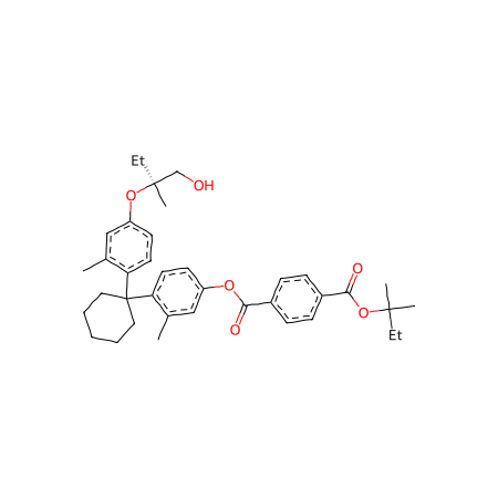 CCC(C)(C)OC(=O)c1ccc(C(=O)Oc2ccc(C3(c4ccc(O[C@@](C)(CC)CO)cc4C)CCCCC3)c(C)c2)cc1